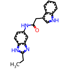 CCc1nc2cc(NC(=O)Cc3c[nH]c4ccccc34)ccc2[nH]1